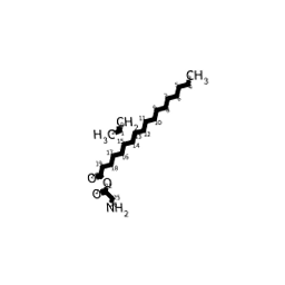 C=CC.CCCCCCCCCCCCCCCCCC(=O)OC(=O)CN